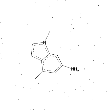 Cc1cc(N)cc2c1ccn2C